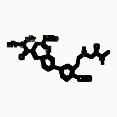 CCCN(CCC)C(=O)C1=Cc2ccc(-c3ccc(C=O)c(CCN(C)CC(=O)N(C)C)c3)cc2N=C(NC)C1